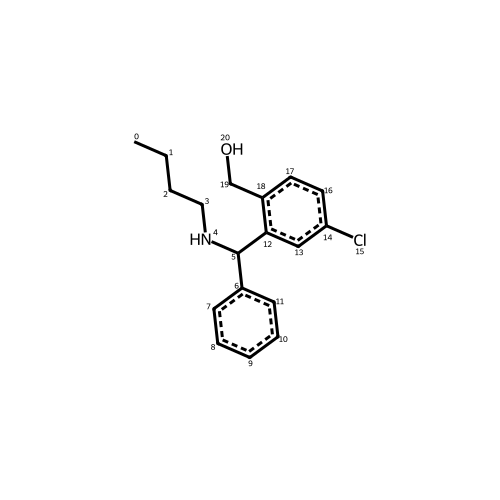 CCCCNC(c1ccccc1)c1cc(Cl)ccc1CO